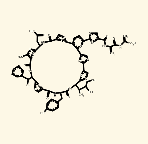 C=C(NC(=O)C(=C)NC(=O)c1csc(-c2ccc3c(n2)-c2csc(n2)-c2csc(n2)C(C(C)C(O)CO)NC(=O)C(Cc2ccc(O)cc2)NC(=O)c2csc(n2)C(C(O)c2ccccc2)NC(=O)c2nc(sc2C)C(CC(N)=O)NC(=O)c2csc-3n2)n1)C(=O)O